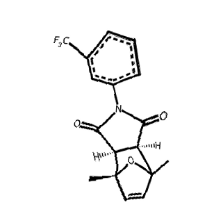 CC12C=C[C@@](C)(O1)[C@H]1C(=O)N(c3cccc(C(F)(F)F)c3)C(=O)[C@H]12